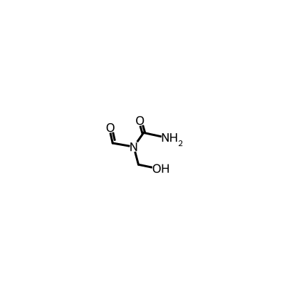 NC(=O)N(C=O)CO